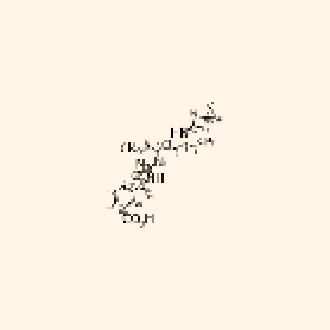 CC(C)CC(COc1cc(Cl)nc(NS(=O)(=O)c2cccc(C(=O)O)c2)n1)NC1CC2(CC2)C1